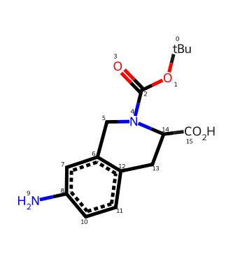 CC(C)(C)OC(=O)N1Cc2cc(N)ccc2CC1C(=O)O